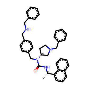 C[C@H](NC(=O)N(Cc1ccc(CNCc2ccccc2)cc1)[C@@H]1CCN(Cc2ccccc2)C1)c1cccc2ccccc12